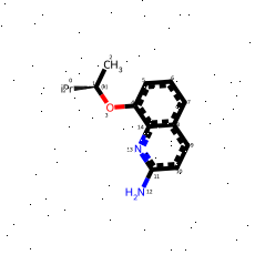 CC(C)[C@@H](C)Oc1cccc2ccc(N)nc12